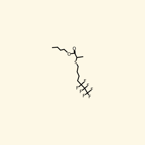 CCCCOC(=O)C(C)SCCCCC(F)(F)C(F)(F)C(F)(F)F